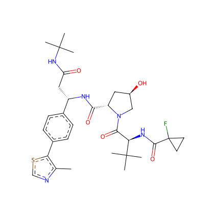 Cc1ncsc1-c1ccc([C@H](CC(=O)NC(C)(C)C)NC(=O)[C@@H]2C[C@@H](O)CN2C(=O)[C@@H](NC(=O)C2(F)CC2)C(C)(C)C)cc1